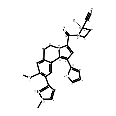 COc1cc2c(cc1-c1ccn(C)n1)-c1c(-c3cccs3)cc(C(=O)N3CC[C@]3(C)C#N)n1CC2